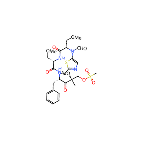 COC[C@H](NC(=O)[C@H](COC)N(C=O)c1cnc(C)s1)C(=O)N[C@@H](Cc1ccccc1)C(=O)[C@@](C)(COS(C)(=O)=O)OC(C)=O